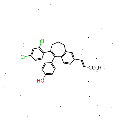 O=C(O)/C=C/c1ccc2c(c1)CCCC(c1ccc(Cl)cc1Cl)=C2c1ccc(O)cc1